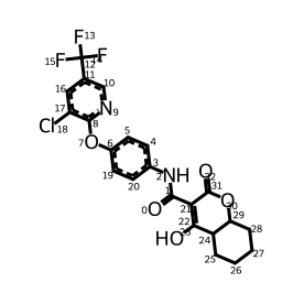 O=C(Nc1ccc(Oc2ncc(C(F)(F)F)cc2Cl)cc1)C1=C(O)C2CCCCC2OC1=O